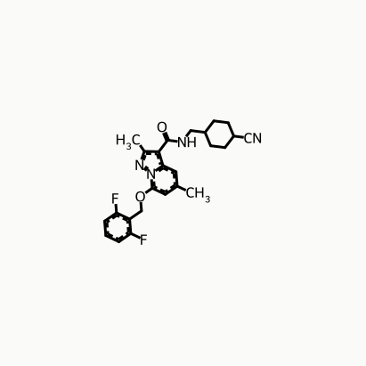 Cc1cc(OCc2c(F)cccc2F)n2nc(C)c(C(=O)NCC3CCC(C#N)CC3)c2c1